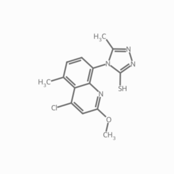 COc1cc(Cl)c2c(C)ccc(-n3c(C)nnc3S)c2n1